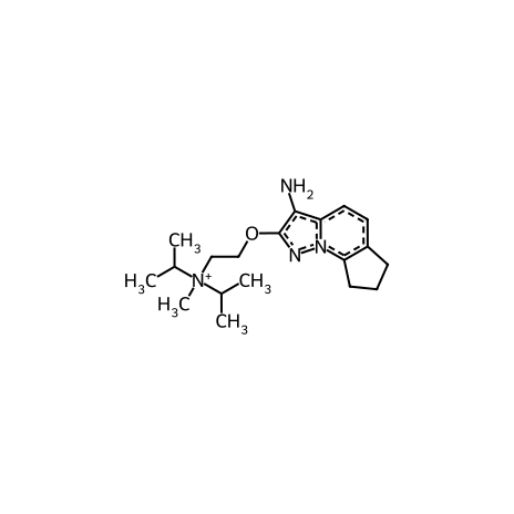 CC(C)[N+](C)(CCOc1nn2c3c(ccc2c1N)CCC3)C(C)C